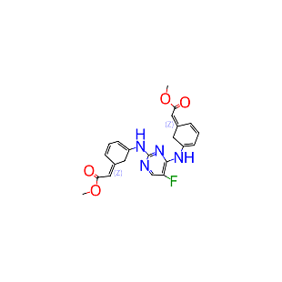 COC(=O)/C=C1\C=CC=C(Nc2ncc(F)c(NC3=CC=C/C(=C\C(=O)OC)C3)n2)C1